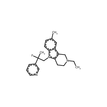 CCN1CCc2c(c3cc(C)ccc3n2CC(C)(F)c2cccnc2)C1